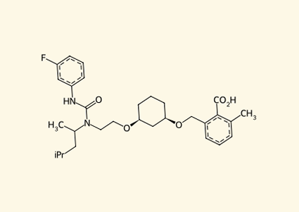 Cc1cccc(CO[C@@H]2CCC[C@H](OCCN(C(=O)Nc3cccc(F)c3)C(C)CC(C)C)C2)c1C(=O)O